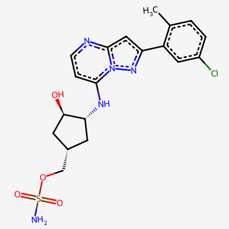 Cc1ccc(Cl)cc1-c1cc2nccc(N[C@@H]3C[C@H](COS(N)(=O)=O)C[C@H]3O)n2n1